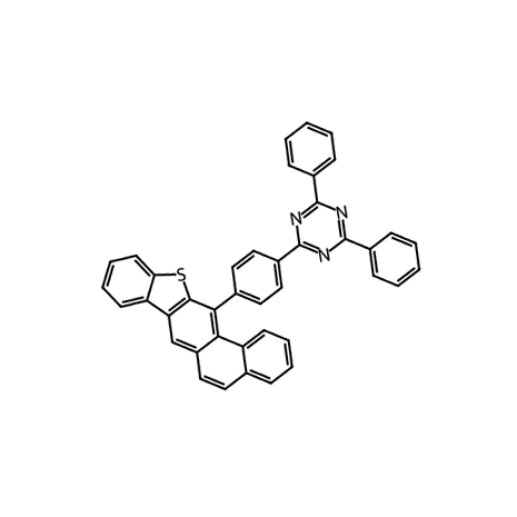 c1ccc(-c2nc(-c3ccccc3)nc(-c3ccc(-c4c5sc6ccccc6c5cc5ccc6ccccc6c45)cc3)n2)cc1